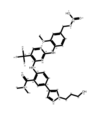 COc1cc(CO[PH](=O)O)ccc1Nc1ncc(C(F)(F)F)c(Nc2ccc(-c3cnn(CCCO)c3)cc2C(=O)N(C)C)n1